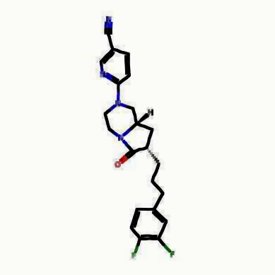 N#Cc1ccc(N2CCN3C(=O)[C@@H](CCCc4ccc(F)c(F)c4)C[C@H]3C2)nc1